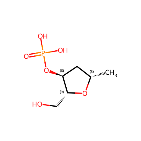 C[C@H]1C[C@H](OP(=O)(O)O)[C@@H](CO)O1